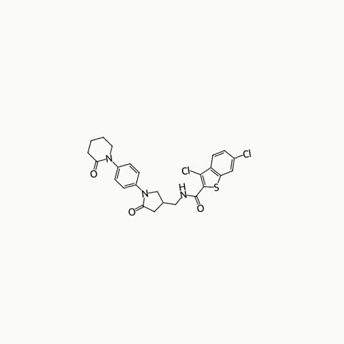 O=C(NCC1CC(=O)N(c2ccc(N3CCCCC3=O)cc2)C1)c1sc2cc(Cl)ccc2c1Cl